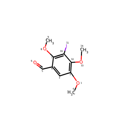 COc1cc(C=O)c(OC)c(I)c1OC